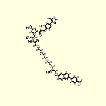 Cc1ncsc1-c1ccc(CNC(=O)[C@@H]2C[C@@H](O)CN2C[C@@H](NC(=O)COCCOCCOCCOCC(O)COc2ccc3nc(-c4ccc(N(C)C)cc4)ccc3c2)C(C)(C)C)cc1